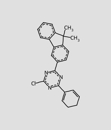 CC1(C)c2ccccc2-c2cc(-c3nc(Cl)nc(C4=CCCC=C4)n3)ccc21